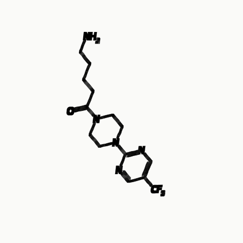 NCCCCC(=O)N1CCN(c2ncc(C(F)(F)F)cn2)CC1